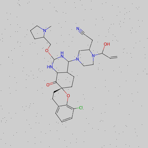 C=CC(O)N1CCN(C2NC(OCC3CCCN3C)NC3C(=O)[C@]4(CCc5cccc(Cl)c5O4)CCC32)CC1CC#N